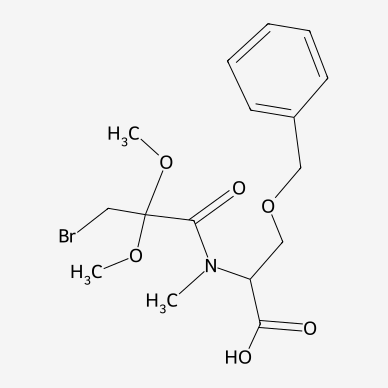 COC(CBr)(OC)C(=O)N(C)C(COCc1ccccc1)C(=O)O